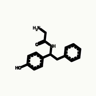 NCC(=O)NC(Cc1ccccc1)c1ccc(O)cc1